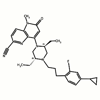 CC[C@@H]1CN(c2cc(=O)n(C)c3ccc(C#N)nc23)[C@@H](CC)CN1CCCc1ccc(C2CC2)cc1F